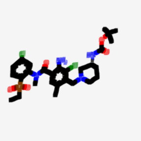 CCS(=O)(=O)c1ccc(Cl)cc1N(C)C(=O)c1cc(C)c(CN2CCC[C@@H](NC(=O)OC(C)(C)C)C2)c(Cl)c1N